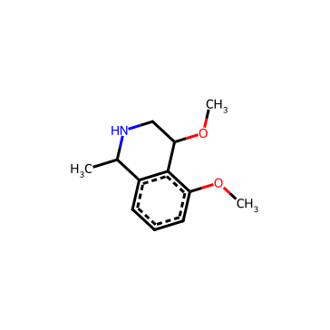 COc1cccc2c1C(OC)CNC2C